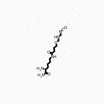 NC(=O)[C@@H](N)CCCCNC(=O)CCCOCNCN=C=O